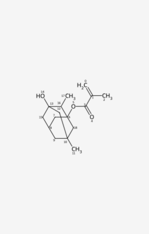 C=C(C)C(=O)OC12CC3CC(C)(CC(O)(C3)C1C)C2